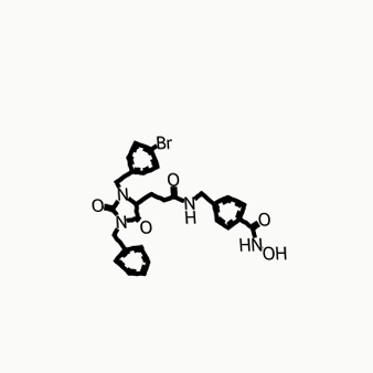 O=C(CCC1C(=O)N(Cc2ccccc2)C(=O)N1Cc1ccc(Br)cc1)NCc1ccc(C(=O)NO)cc1